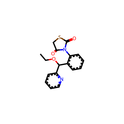 CCOC(c1ccccn1)c1ccccc1N1C(=O)CSC1=O